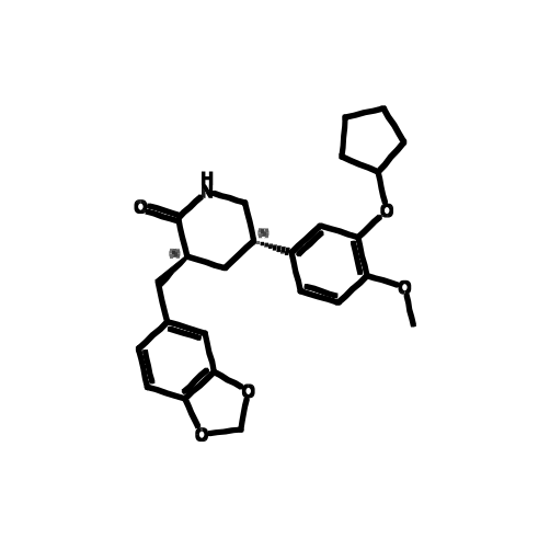 COc1ccc([C@H]2CNC(=O)[C@H](Cc3ccc4c(c3)OCO4)C2)cc1OC1CCCC1